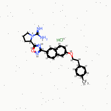 Cl.N=C(N)N1CCCC1c1nc(-c2ccc3cc(OCCc4ccc(C(F)(F)F)cc4)ccc3c2)no1